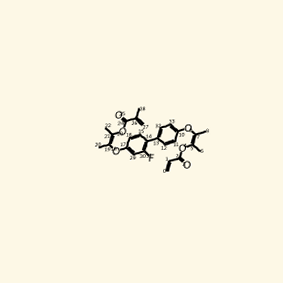 C=CC(=O)OC(C)=C(C)Oc1ccc(-c2ccc(OC(C)=C(C)OC(=O)C(=C)C)cc2F)cc1